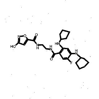 O=C(NCCNC(=O)c1cc(F)c(NC2CCCCC2)cc1NC1CCCC1)c1cc(O)no1